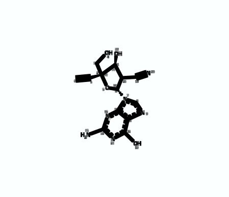 C#C[C@]1(CO)O[C@@H](n2cnc3c(O)nc(N)nc32)C(C#N)[C@@H]1O